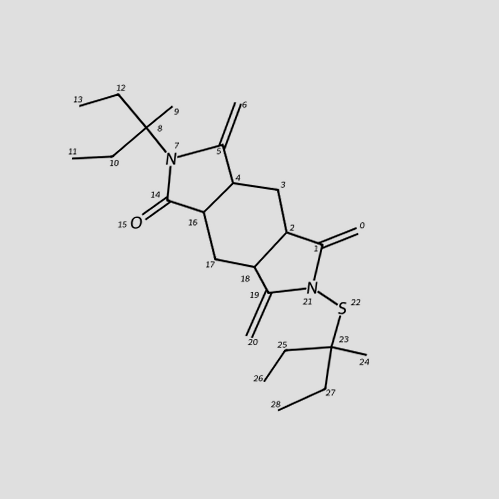 C=C1C2CC3C(=C)N(C(C)(CC)CC)C(=O)C3CC2C(=C)N1SC(C)(CC)CC